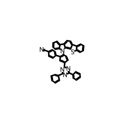 N#Cc1ccc(-c2cc(-c3nc(-c4ccccc4)nc(-c4ccccc4)n3)ccc2-n2c3ccccc3c3ccc4c5ccccc5sc4c32)cc1